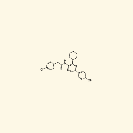 O=C(Cc1ccc(Cl)cc1)Nc1ncc(-c2ccc(O)cc2)nc1C1CCCCC1